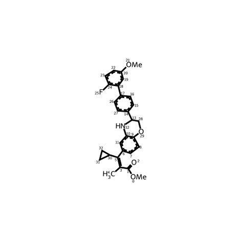 COC(=O)/C(C)=C(\c1ccc2c(c1)NC(c1ccc(-c3cc(OC)ccc3F)cc1)CO2)C1CC1